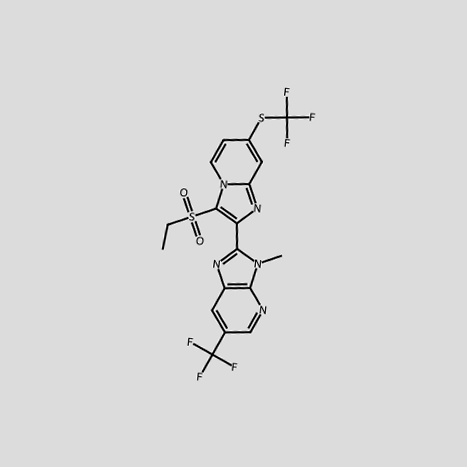 CCS(=O)(=O)c1c(-c2nc3cc(C(F)(F)F)cnc3n2C)nc2cc(SC(F)(F)F)ccn12